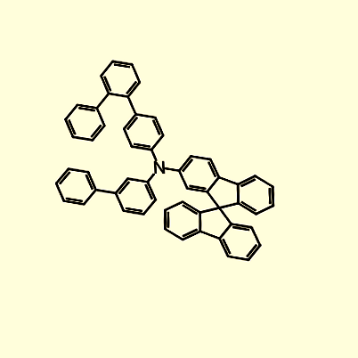 c1ccc(-c2cccc(N(c3ccc(-c4ccccc4-c4ccccc4)cc3)c3ccc4c(c3)C3(c5ccccc5-c5ccccc53)c3ccccc3-4)c2)cc1